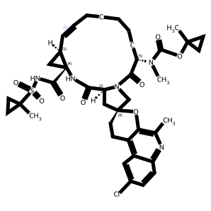 Cc1nc2ccc(Cl)cc2c2c1O[C@]1(CC2)C[C@H]2C(=O)N[C@]3(C(=O)NS(=O)(=O)C4(C)CC4)C[C@H]3/C=C\CCCCC[C@H](N(C)C(=O)OC3(C)CC3)C(=O)N2C1